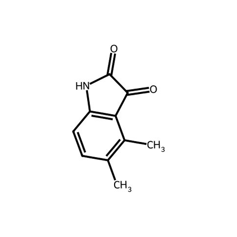 Cc1ccc2c(c1C)C(=O)C(=O)N2